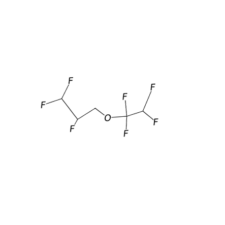 FC(F)C(F)COC(F)(F)C(F)F